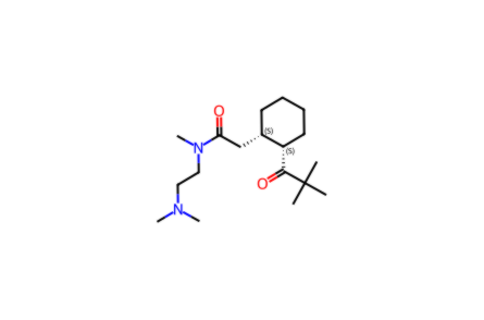 CN(C)CCN(C)C(=O)C[C@@H]1CCCC[C@@H]1C(=O)C(C)(C)C